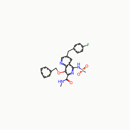 CNC(=O)c1nc(NS(C)(=O)=O)c2cc(Cc3ccc(F)cc3)cnc2c1OCc1ccccc1